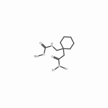 CCN(CC)C(=O)CC1(CNC(=O)OC(C)(C)C)CCCCC1